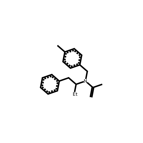 C=C(C)N(Cc1ccc(C)cc1)C(CC)Cc1ccccc1